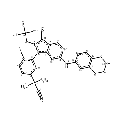 CC(C)(C#N)c1ccc(F)c(-n2c3nc(Nc4ccc5c(c4)CCNC5)ncc3c(=O)n2CC(F)(F)F)n1